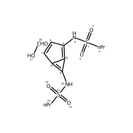 CCCS(=O)(=O)Nc1ccc2c(NS(=O)(=O)CCC)c1-2.O=CO